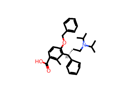 Cc1c(C(=O)O)ccc(OCc2ccccc2)c1[C@H](CCN(C(C)C)C(C)C)c1ccccc1